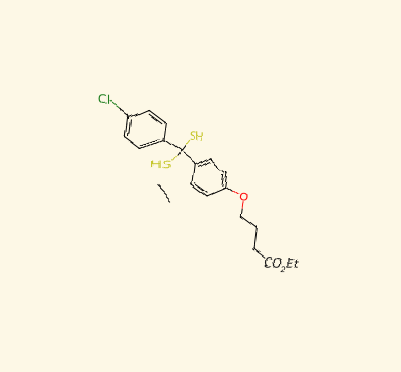 CC.CCOC(=O)CCCOc1ccc(C(S)(S)c2ccc(Cl)cc2)cc1